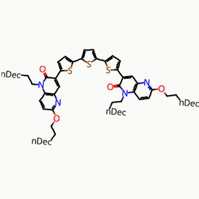 CCCCCCCCCCCCOc1ccc2c(cc(-c3ccc(-c4ccc(-c5ccc(-c6cc7nc(OCCCCCCCCCCCC)ccc7n(CCCCCCCCCCCC)c6=O)s5)s4)s3)c(=O)n2CCCCCCCCCCCC)n1